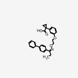 CCC(=NOCCOc1cccc(C2(C(=O)O)CC2)c1)c1ccc(-c2ccccc2)cc1